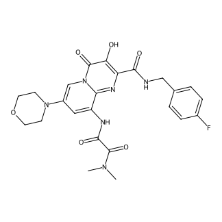 CN(C)C(=O)C(=O)Nc1cc(N2CCOCC2)cn2c(=O)c(O)c(C(=O)NCc3ccc(F)cc3)nc12